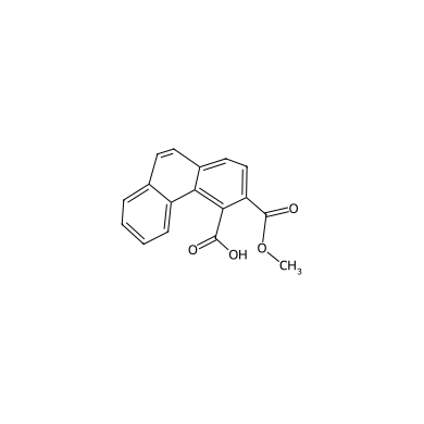 COC(=O)c1ccc2ccc3ccccc3c2c1C(=O)O